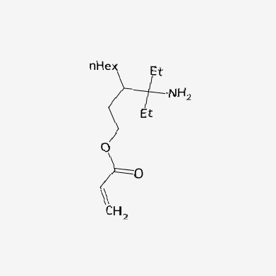 C=CC(=O)OCCC(CCCCCC)C(N)(CC)CC